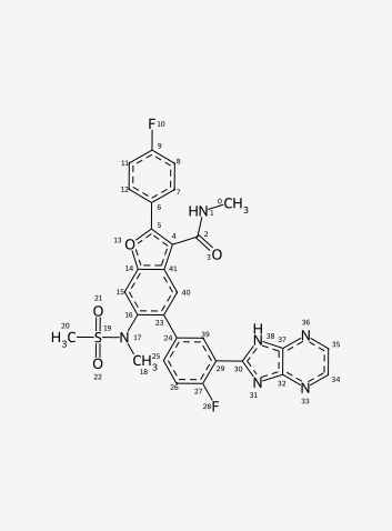 CNC(=O)c1c(-c2ccc(F)cc2)oc2cc(N(C)S(C)(=O)=O)c(-c3ccc(F)c(-c4nc5nccnc5[nH]4)c3)cc12